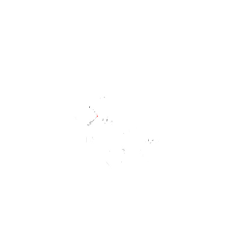 COC(=O)C1=C(C(=O)OC)C2(C(Cc3ccccc3Br)Nc3ccccc3)C=CC1O2